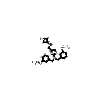 COc1cccc(CN(Cc2cccc(OC)c2)c2nc(CNC3CNC3)cs2)c1